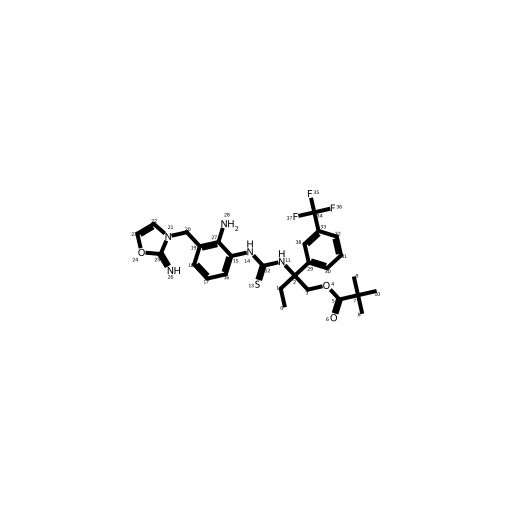 CCC(COC(=O)C(C)(C)C)(NC(=S)Nc1cccc(Cn2ccoc2=N)c1N)c1cccc(C(F)(F)F)c1